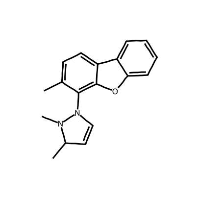 Cc1ccc2c(oc3ccccc32)c1N1C=CC(C)N1C